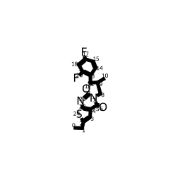 CCc1cc2c(=O)n(CC(C)C(=O)c3ccc(F)cc3F)cnc2s1